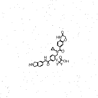 O=C(O)C(F)(F)F.O=C1COc2cc(C(=O)N(Cc3ccc(C(=O)Nc4ccc5c(c4)CNC5)cc3)C3CC3)ccc2N1